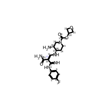 N=C(Nc1ccc(F)cc1)/C(=C\N[C@@H]1CCN(C(=O)OC2COC2)C[C@H]1N)C(N)=O